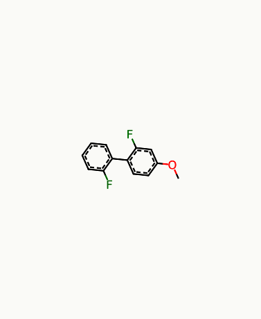 COc1ccc(-c2ccccc2F)c(F)c1